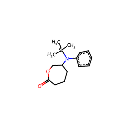 C[Si](C)(C)N(c1ccccc1)C1CCCC(=O)OC1